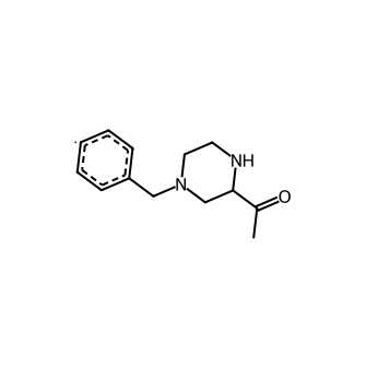 CC(=O)C1CN(Cc2cc[c]cc2)CCN1